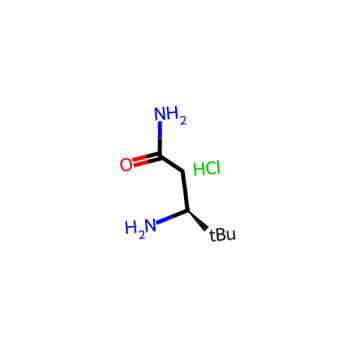 CC(C)(C)[C@@H](N)CC(N)=O.Cl